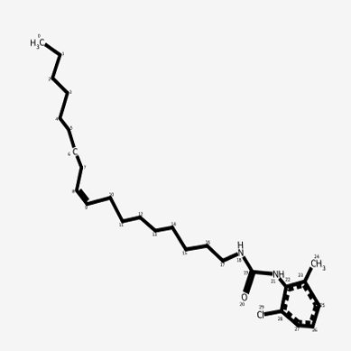 CCCCCCCC/C=C\CCCCCCCCNC(=O)Nc1c(C)cccc1Cl